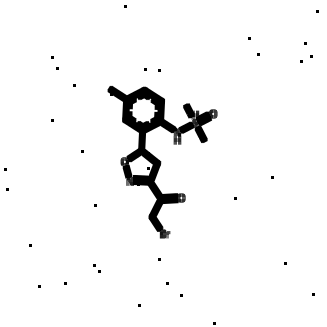 Cc1ccc(N[SH](C)(C)=O)c(C2CC(C(=O)CBr)=NO2)c1